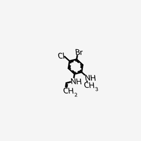 C=CNc1cc(Cl)c(Br)cc1NC